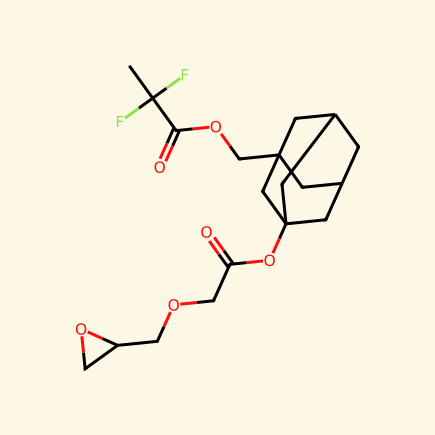 CC(F)(F)C(=O)OCC12CC3CC(C1)CC(OC(=O)COCC1CO1)(C3)C2